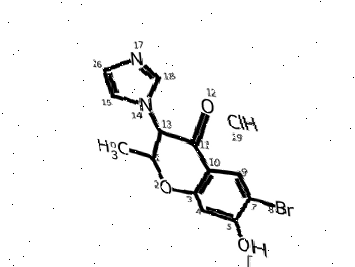 CC1Oc2cc(O)c(Br)cc2C(=O)C1n1ccnc1.Cl